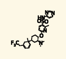 Cc1nc(O[C@H]2CC[C@H](C3(C)C=CC=C(CC(F)(F)F)C3)C[C@@H]2N(C)C)ccc1S(=O)(=O)Nc1ccncn1